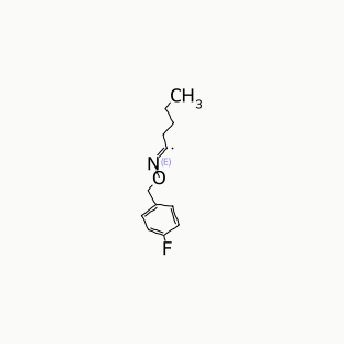 CCCC/[C]=N/OCc1ccc(F)cc1